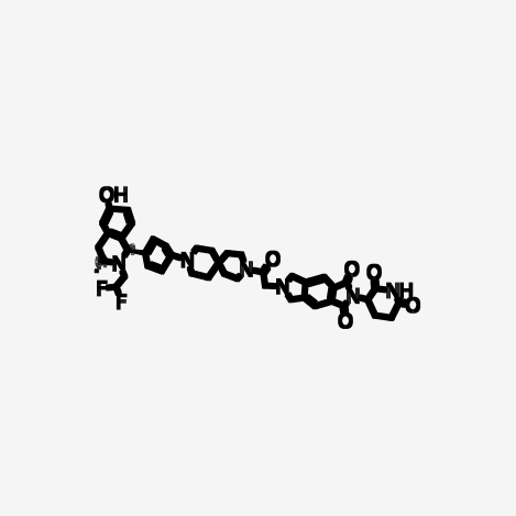 C[C@@H]1Cc2cc(O)ccc2[C@@H](c2ccc(N3CCC4(CCN(C(=O)CN5Cc6cc7c(cc6C5)C(=O)N(C5CCC(=O)NC5=O)C7=O)CC4)CC3)cc2)N1CC(F)F